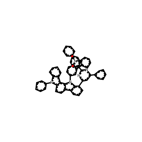 c1ccc(-c2cc(-c3cccc4c5ccc6c(c7ccccc7n6-c6ccccc6)c5n(-c5ccc6c(c5)c5ccccc5n6-c5ccccc5)c34)nc(-c3ccccc3)n2)cc1